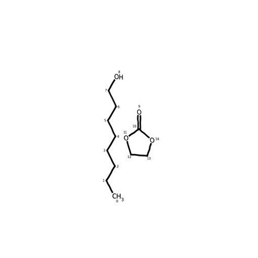 CCCCCCCCO.O=C1OCCO1